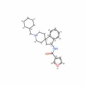 O=C(N[C@H]1CC2(CCN(CC3CCCCC3)CC2)c2ccccc21)c1ccoc1